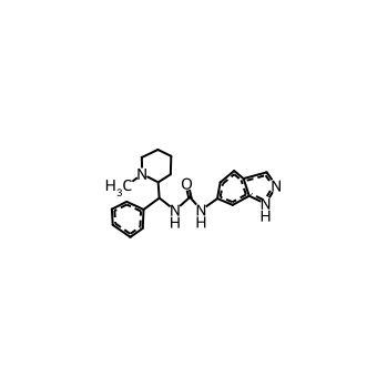 CN1CCCCC1C(NC(=O)Nc1ccc2cn[nH]c2c1)c1ccccc1